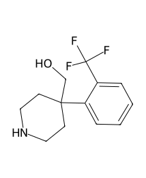 OCC1(c2ccccc2C(F)(F)F)CCNCC1